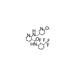 COc1ccc(CNc2ncccc2C(=O)Nc2cccc(C(F)(F)F)c2F)cn1